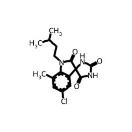 Cc1cc(Cl)cc2c1N(CCC(C)C)C(=O)C21NC(=O)NC1=O